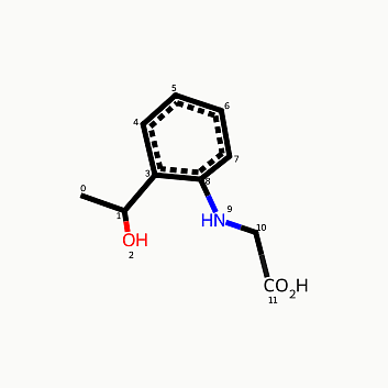 CC(O)c1ccccc1NCC(=O)O